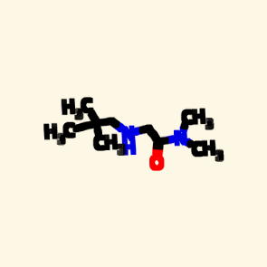 CN(C)C(=O)CNCC(C)(C)C